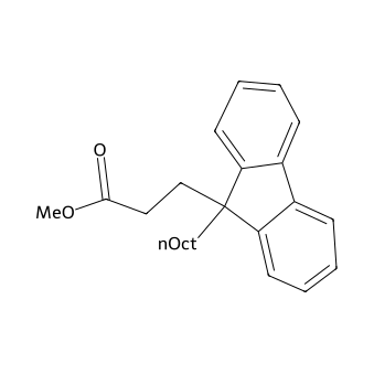 CCCCCCCCC1(CCC(=O)OC)c2ccccc2-c2ccccc21